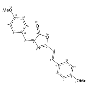 COc1ccc(C=CC2=NC(=Cc3ccc(OC)cc3)C(=O)O2)cc1